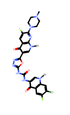 CCn1cc(NC(=O)Nc2nnc(-c3cn(CC)c4nc(N5CCN(C)CC5)c(F)cc4c3=O)o2)c(=O)c2cc(F)c(Cl)cc21